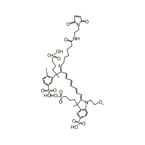 COCCN1/C(=C/C=C/C=C/C=C/C(=N\CCCCCC(=O)NCCN2C(=O)C=CC2=O)C(C)(CCCS(=O)(=O)O)c2cc(S(=O)(=O)O)ccc2I)C(C)(CCCS(=O)(=O)O)c2cc(S(=O)(=O)O)ccc21